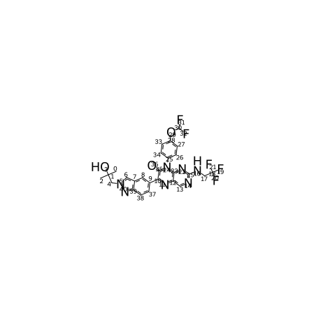 CC(C)(O)Cn1cc2cc(-c3nc4cnc(NCC(F)(F)F)nc4n(-c4ccc(OC(F)F)cc4)c3=O)ccc2n1